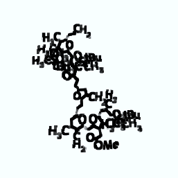 C=CC[C@@H]1O[C@@H]([C@H](/C=C/C(=O)CC[C@H]2CC(=C)C(CC[C@H]3C[C@@H](C)C(=C)[C@@H](CC4O[C@H](C[C@H](C)CO[Si](C)(C)C(C)(C)C)[C@H](C)[C@H]4CC(=O)OC)O3)O2)O[Si](C)(C)C(C)(C)C)[C@@H](O[Si](C)(C)C(C)(C)C)[C@@H](C)[C@H]1C